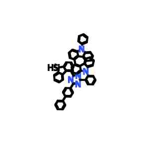 C[SiH]1c2ccccc2-c2c(-c3nc(-c4ccc(-c5ccccc5)cc4)nc(-c4ccccc4-n4c5ccccc5c5c(-c6cccc7c6c6ccccc6n7-c6ccccc6)cccc54)n3)cccc21